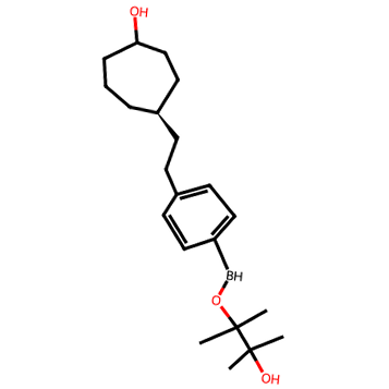 CC(C)(O)C(C)(C)OBc1ccc(CC[C@H]2CCCC(O)CC2)cc1